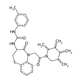 C=C1CN(C(=O)CN2C(=O)C(NC(=O)Nc3cccc(C)c3)CSc3ccccc32)C(=C)C(=C)C1=C